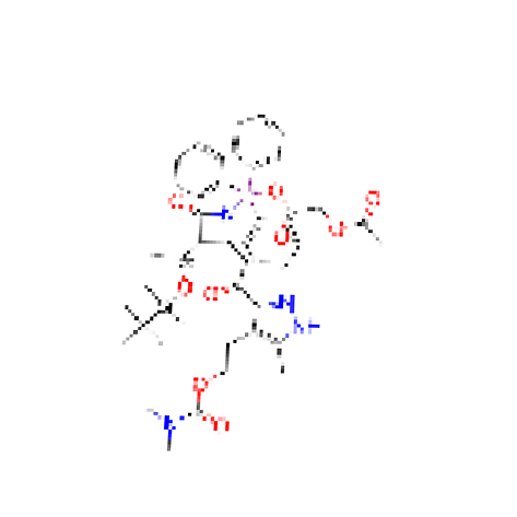 CC(=O)OCC(=O)OP(c1ccccc1)(c1ccccc1)(c1ccccc1)N1C(=O)C([C@@H](C)O[Si](C)(C)C(C)(C)C)C1CC(=O)c1n[nH]c(C)c1CCOC(=O)N(C)C